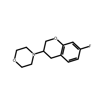 Fc1ccc2c(c1)OCC(N1CCOCC1)C2